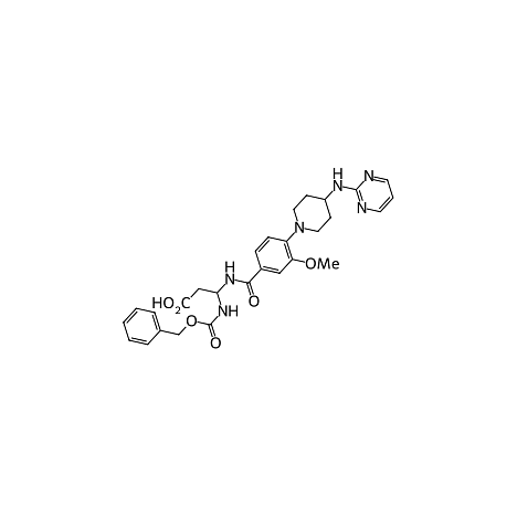 COc1cc(C(=O)NC(CC(=O)O)NC(=O)OCc2ccccc2)ccc1N1CCC(Nc2ncccn2)CC1